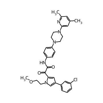 COCCn1cc(-c2cccc(Cl)c2)cc1C(=O)C(=O)Nc1ccc(N2CCN(c3cc(C)cc(C)n3)CC2)cc1